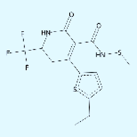 CCc1ccc(C2=C(C(=O)NSC)C(=O)NC(C(F)(F)F)C2)s1